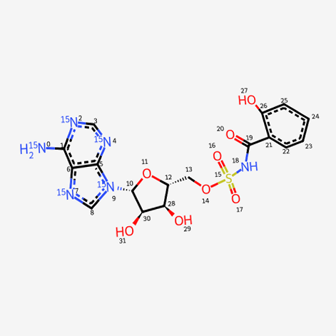 [15NH2]c1[15n]c[15n]c2c1[15n]c[15n]2[C@@H]1O[C@H](COS(=O)(=O)NC(=O)c2ccccc2O)[C@@H](O)[C@H]1O